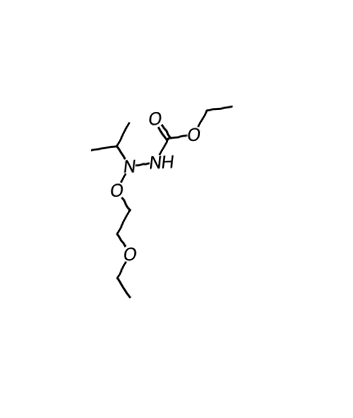 CCOCCON(NC(=O)OCC)C(C)C